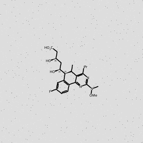 CON(C)c1nc2c(c(C(C)C)n1)C(C)[C@H]([C@@H](O)C[C@@H](O)CC(=O)O)c1cc(F)ccc1-2